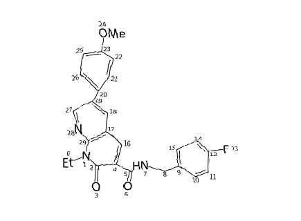 CCn1c(=O)c(C(=O)NCc2ccc(F)cc2)cc2cc(-c3ccc(OC)cc3)cnc21